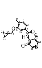 Cc1ccc(C(=O)Nc2c(Cl)cncc2Cl)cc1OCC1CC1